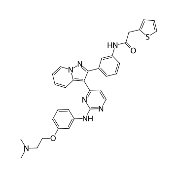 CN(C)CCOc1cccc(Nc2nccc(-c3c(-c4cccc(NC(=O)Cc5cccs5)c4)nn4ccccc34)n2)c1